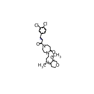 CO[C@H]1COCC[C@H]1N(C)CCN1CCN(C(=O)/C=C/c2ccc(Cl)c(Cl)c2)CCC1=O